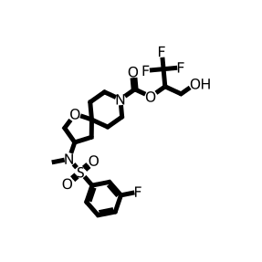 CN(C1COC2(CCN(C(=O)OC(CO)C(F)(F)F)CC2)C1)S(=O)(=O)c1cccc(F)c1